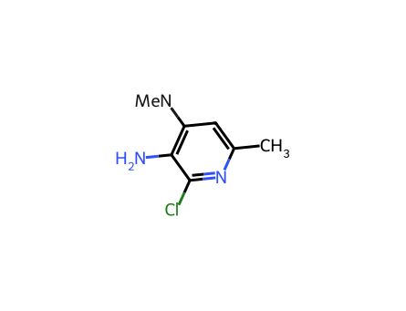 CNc1cc(C)nc(Cl)c1N